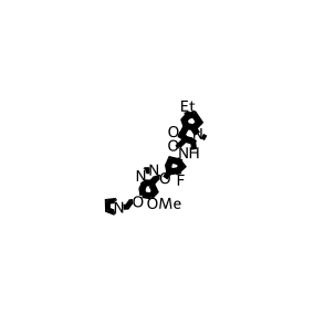 CCc1ccc2c(c1)c(=O)c(C(=O)Nc1ccc(Oc3ncnc4cc(OCCN5CCCC5)c(OC)cc34)c(F)c1)c(C)n2C